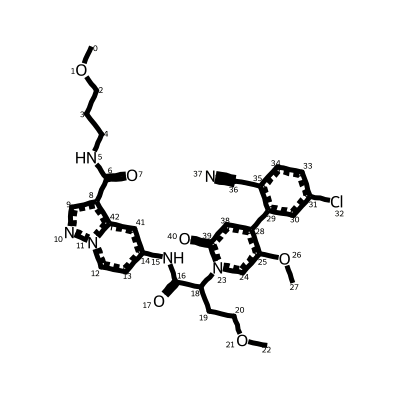 COCCCNC(=O)c1cnn2ccc(NC(=O)C(CCOC)n3cc(OC)c(-c4cc(Cl)ccc4C#N)cc3=O)cc12